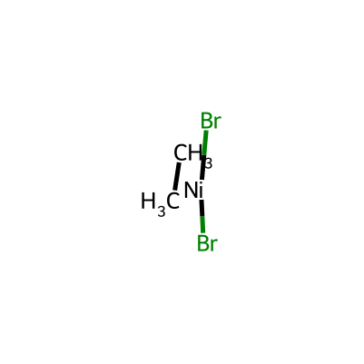 CC.[Br][Ni][Br]